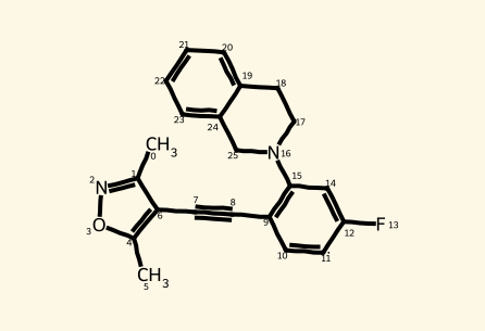 Cc1noc(C)c1C#Cc1c[c]c(F)cc1N1CCc2ccccc2C1